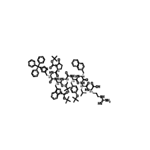 CC(C)C[C@H](NC(=O)[C@@H](Cc1ccc2ccccc2c1)NC(=O)[C@H](Cc1ccc(OC(C)(C)C)cc1)NC(=O)[C@H](COC(C)(C)C)NC(=O)[C@H](Cc1cn(C(=O)OC(C)(C)C)c2ccccc12)NC(=O)[C@H](Cc1cn(C(c2ccccc2)(c2ccccc2)c2ccccc2)cn1)NC(=O)[C@@H]1CCC(=O)N1C(=O)OC(C)(C)C)C(=O)N[C@@H](CCCNC(=N)N)C(=O)O